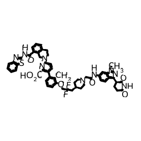 Cc1c(OCC(F)(F)CC2CCN(CC(=O)Nc3ccc4c(C5CCC(=O)NC5=O)nn(C)c4c3)CC2)cccc1-c1ccc(N2CCc3cccc(C(=O)Nc4nc5ccccc5s4)c3C2)nc1C(=O)O